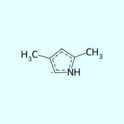 Cc1[c][nH]c(C)c1